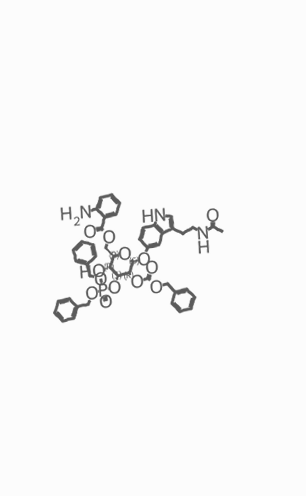 CC(=O)NCCc1c[nH]c2ccc(O[C@@H]3O[C@H](COC(=O)c4ccccc4N)[C@@H](O)[C@H](OP(=O)(OCc4ccccc4)OCc4ccccc4)[C@H]3OC(=O)OCc3ccccc3)cc12